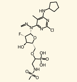 C=NN(c1nc(Cl)nc(NC2CCCC2)c1C)[C@@H]1O[C@H](COC(CNS(C)(=O)=O)P(=O)(O)O)[C@@H](O)[C@@H]1F